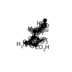 CC[C@H](C)[C@@H]([C@@H](CC(=O)N1CCC[C@H]1C[C@@H](C)C(=O)N[C@H](C)[C@@H](O)c1ccccc1)OC)N(C)C(=O)[C@@H](NC(=O)[C@H](C(C)C)N(C)C(=O)OCc1ccc(NC(=O)[C@H](CCCNC(N)=O)NC(=O)[C@@H](NC(=O)[C@H](CCC(=O)O)NC(=O)CCOCCC(=O)C(C)C)C(C)C)cc1C(=O)NCCN)C(C)C